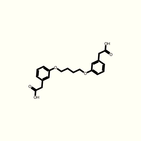 O=C(O)Cc1cccc(OCCCCOc2cccc(CC(=O)O)c2)c1